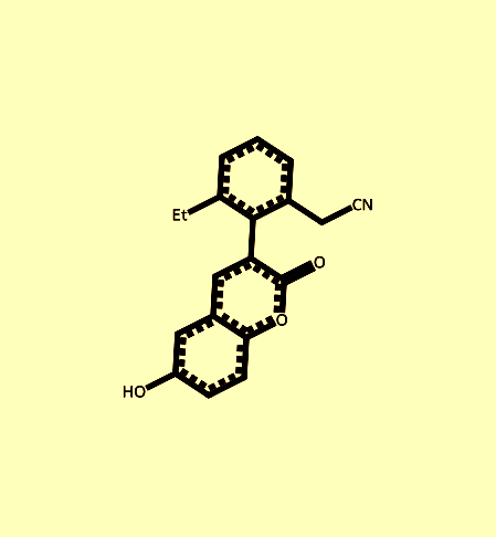 CCc1cccc(CC#N)c1-c1cc2cc(O)ccc2oc1=O